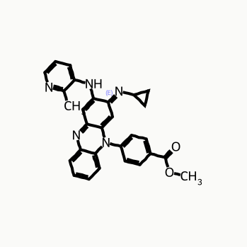 COC(=O)c1ccc(-n2c3c/c(=N\C4CC4)c(Nc4cccnc4C)cc-3nc3ccccc32)cc1